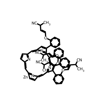 CC(C#N)C=COc1ccccc1C1=CC2=CC3=NC(=CC4=NC(=CC5=NC(=C(c6ccccc6OC=CC(C)C#N)C1=N2)C(c1ccccc1OC=CC(C)C#N)=C5c1ccccc1OC=CC(C)C#N)C=C4)C=C3.[Zn]